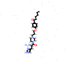 CCCCCC(=O)c1ccc(OCCCN2CCN(C(=O)[C@@H](N)Cc3c[nH]cn3)CC2)cc1